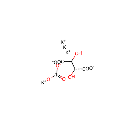 O=C([O-])C(O)C(O)C(=O)[O-].[K+].[K+].[K+].[K+].[O]=[Ti]([O-])[O-]